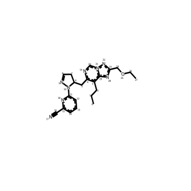 CCCc1c(CC2CC=NN2c2cccc(C#N)n2)ncn2nc(COCC)nc12